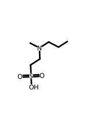 CCCN(C)CCS(=O)(=O)O